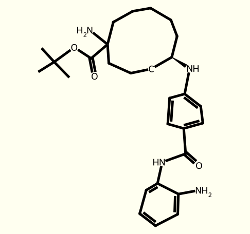 CC(C)(C)OC(=O)C1(N)CCCCC[C@@H](Nc2ccc(C(=O)Nc3ccccc3N)cc2)CCC1